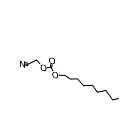 CCCCCCCCCOC(=O)OCC#N